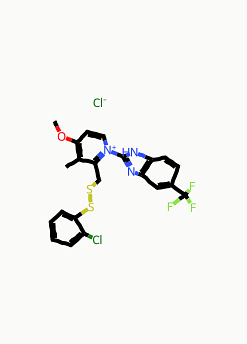 COc1cc[n+](-c2nc3cc(C(F)(F)F)ccc3[nH]2)c(CSSc2ccccc2Cl)c1C.[Cl-]